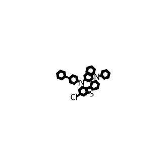 Clc1cc(N(c2ccccc2)c2ccc(-c3ccccc3)cc2)c2c(c1)sc1ccc(N(c3ccccc3)c3ccccc3)cc12